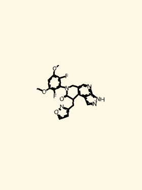 COc1cc(OC)c(F)c(N2Cc3cnc4[nH]ncc4c3C(Cc3ccon3)C2=O)c1F